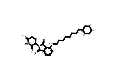 O=C1CCC(N2C(=O)c3cccc(NCCCCCCCCC4CCCCC4)c3C2=O)C(=O)N1